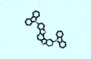 C1=C(n2c3ccccc3c3ccccc32)CCc2sc3ccc4c5cc(-n6c7ccccc7c7ccccc76)ccc5sc4c3c21